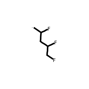 [CH2]C(F)CC(F)CF